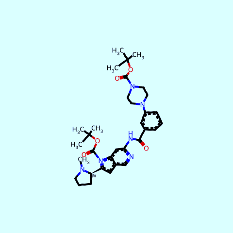 CN1CCC[C@@H]1c1cc2cnc(NC(=O)c3cccc(N4CCN(C(=O)OC(C)(C)C)CC4)c3)cc2n1C(=O)OC(C)(C)C